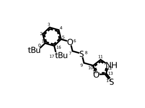 CC(C)(C)c1cccc(OCSCc2c[nH]c(=S)o2)c1C(C)(C)C